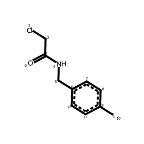 O=C(CCl)NCc1ccc(I)cc1